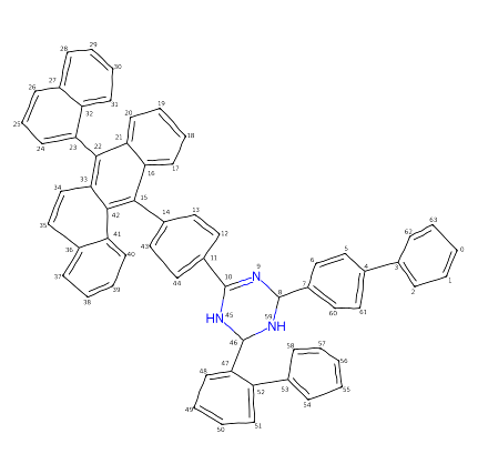 c1ccc(-c2ccc(C3N=C(c4ccc(-c5c6ccccc6c(-c6cccc7ccccc67)c6ccc7ccccc7c56)cc4)NC(c4ccccc4-c4ccccc4)N3)cc2)cc1